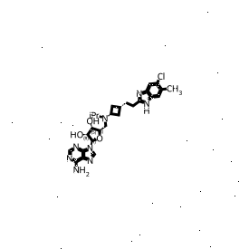 Cc1cc2[nH]c(CC[C@H]3C[C@@H](N(C[C@H]4O[C@@H](n5cnc6c(N)ncnc65)[C@H](O)[C@@H]4O)C(C)C)C3)nc2cc1Cl